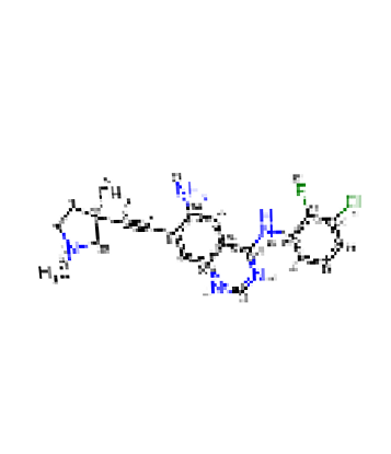 CN1CC[C@@](C)(C#Cc2cc3ncnc(Nc4cccc(Cl)c4F)c3cc2N)C1